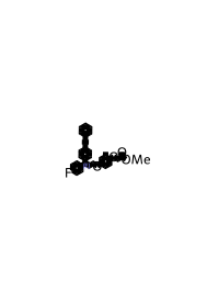 COC(=O)COc1ccc(OC/C=C(/c2ccc(F)cc2)c2ccc(C#Cc3ccccc3)cc2)cc1C